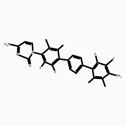 Cc1c(C)c(-c2ccc(-c3c(C)c(C)c(-n4ccc(N)nc4=O)c(F)c3F)cc2)c(F)c(F)c1P